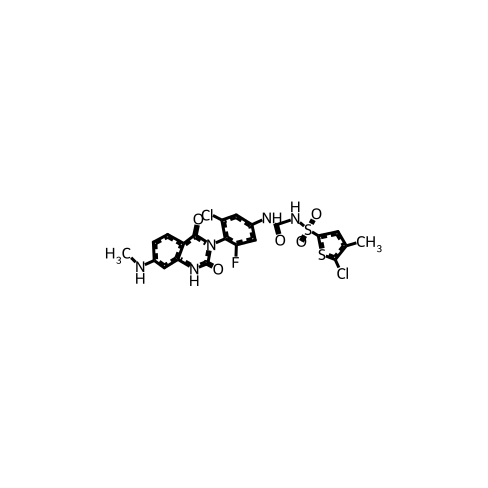 CNc1ccc2c(=O)n(-c3c(F)cc(NC(=O)NS(=O)(=O)c4cc(C)c(Cl)s4)cc3Cl)c(=O)[nH]c2c1